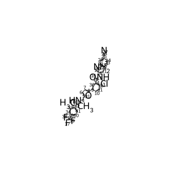 CC(C)(NCc1ccc(-c2ccc(Cl)c(C(=O)NC(CN)Cc3ccc(C#N)cc3)c2)o1)c1ccc(C(F)(F)F)cc1